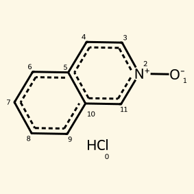 Cl.[O-][n+]1ccc2ccccc2c1